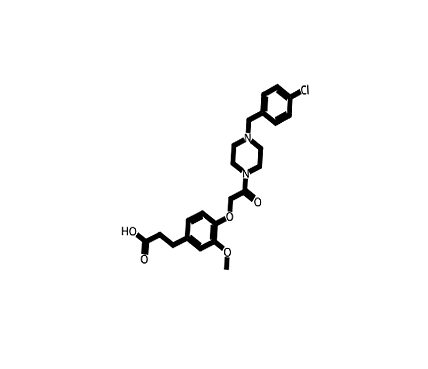 COc1cc(CCC(=O)O)ccc1OCC(=O)N1CCN(Cc2ccc(Cl)cc2)CC1